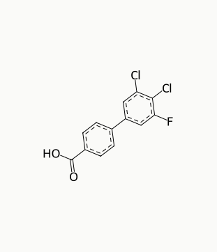 O=C(O)c1ccc(-c2cc(F)c(Cl)c(Cl)c2)cc1